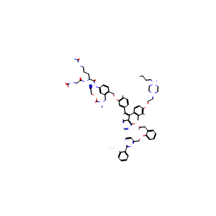 C#CCOC(=O)N(C)Cc1cc(NC(=O)C(CCCNC(N)=O)NC(=O)CNC(=O)OC(C)(C)C)ccc1COc1cc(-c2sc3ncnc(OC(C=O)Cc4ccccc4OCc4ccnc(-c5ccccc5OC)n4)c3c2-c2ccc(OCCN3CC[N+](C)(CCCS(=O)(=O)O)CC3)c(Cl)c2C)ccc1F